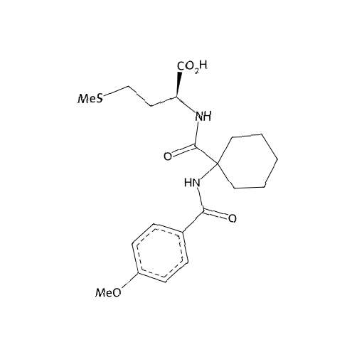 COc1ccc(C(=O)NC2(C(=O)N[C@@H](CCSC)C(=O)O)CCCCC2)cc1